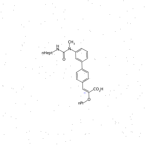 CCCCCCCNC(=O)N(C)c1cccc(-c2ccc(/C=C(/OCCC)C(=O)O)cc2)c1